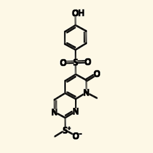 Cn1c(=O)c(S(=O)(=O)c2ccc(O)cc2)cc2cnc([S+](C)[O-])nc21